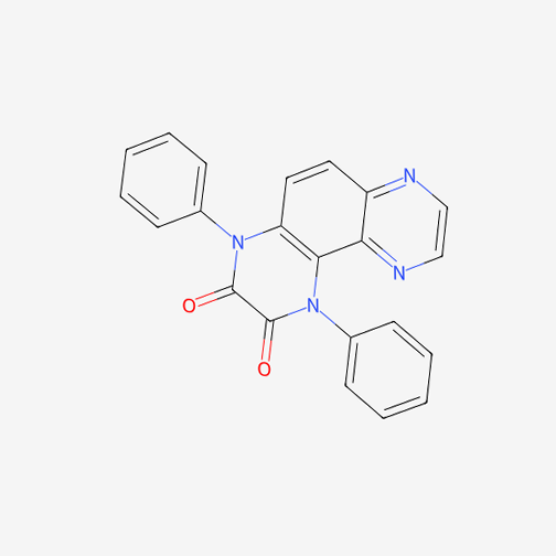 O=c1c(=O)n(-c2ccccc2)c2c3nccnc3ccc2n1-c1ccccc1